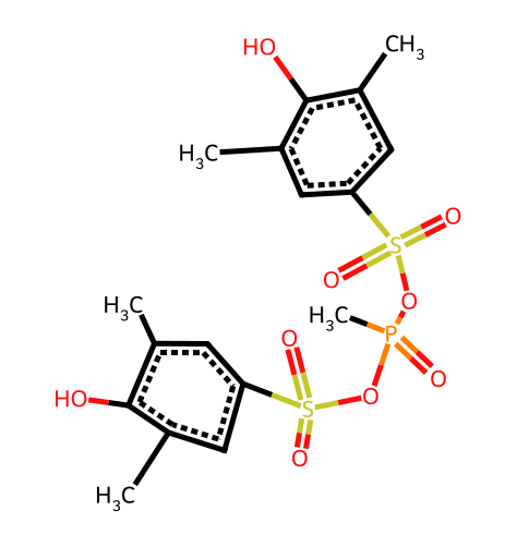 Cc1cc(S(=O)(=O)OP(C)(=O)OS(=O)(=O)c2cc(C)c(O)c(C)c2)cc(C)c1O